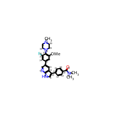 COc1cc(-c2cnc3[nH]cc(-c4ccc(C(=O)N(C)C)cc4)c3c2)cc(F)c1N1CCN(C)CC1